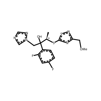 COCc1nsc(S[C@H](C)C(O)(Cn2cncn2)c2ccc(F)cc2F)n1